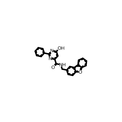 O=C(NCc1ccc2oc3ccccc3c2c1)c1cc(O)nc(-c2ccccc2)n1